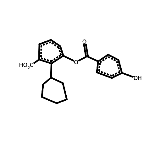 O=C(Oc1cccc(C(=O)O)c1C1CCCCC1)c1ccc(O)cc1